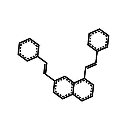 C(=Cc1ccc2cccc(C=Cc3ccccc3)c2c1)c1ccccc1